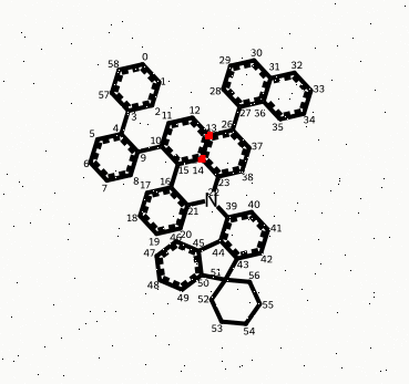 c1ccc(-c2ccccc2-c2ccccc2-c2ccccc2N(c2ccc(-c3cccc4ccccc34)cc2)c2cccc3c2-c2ccccc2C32CCCCC2)cc1